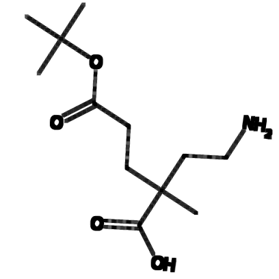 CC(C)(C)OC(=O)CCC(C)(CCN)C(=O)O